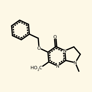 CN1CCn2c1nc(C(=O)O)c(OCc1ccccc1)c2=O